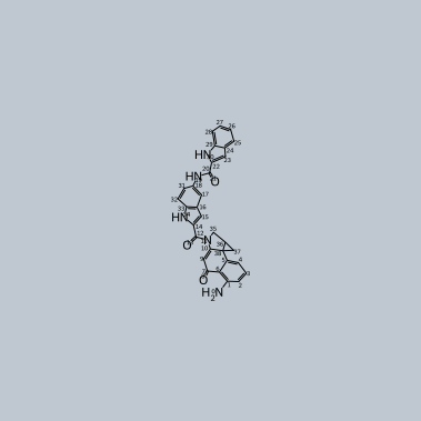 Nc1cccc2c1C(=O)C=C1N(C(=O)c3cc4cc(NC(=O)c5cc6ccccc6[nH]5)ccc4[nH]3)CC3CC123